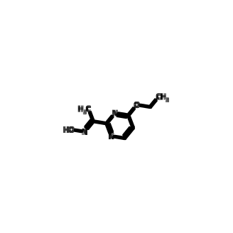 CCOc1ccnc(C(C)=NO)n1